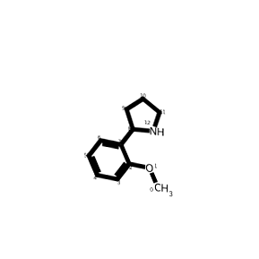 COc1ccccc1C1CCCN1